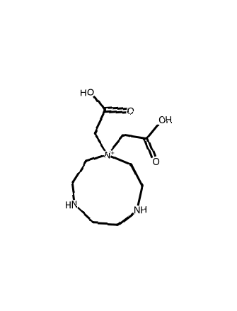 O=C(O)C[N+]1(CC(=O)O)CCNCCNCC1